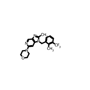 Cc1c(Cn2c(C)nc3cnc(N4CCOCC4)cc32)cccc1C(F)(F)F